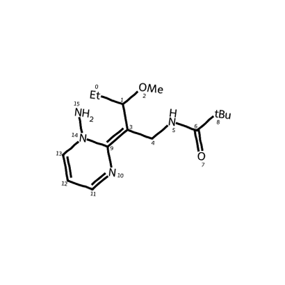 CCC(OC)/C(CNC(=O)C(C)(C)C)=C1/N=CC=CN1N